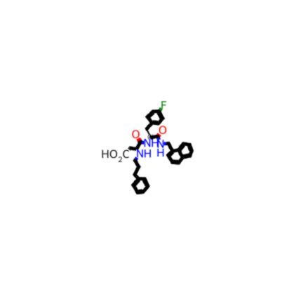 O=C(O)CC(NCCCc1ccccc1)C(=O)N[C@@H](Cc1ccc(F)cc1)C(=O)NCc1cccc2ccccc12